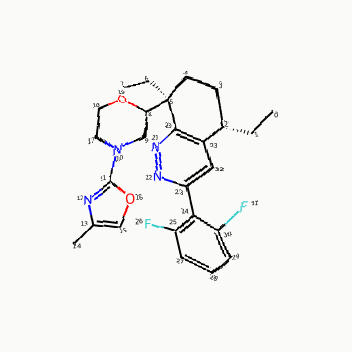 CC[C@H]1CC[C@](CC)([C@H]2CN(c3nc(C)co3)CCO2)c2nnc(-c3c(F)cccc3F)cc21